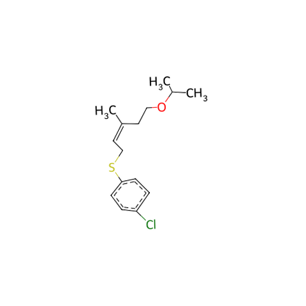 CC(=CCSc1ccc(Cl)cc1)CCOC(C)C